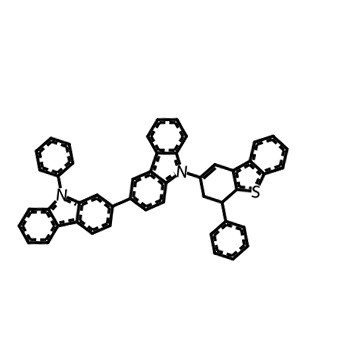 C1=C(n2c3ccccc3c3cc(-c4ccc5c6ccccc6n(-c6ccccc6)c5c4)ccc32)CC(c2ccccc2)c2sc3ccccc3c21